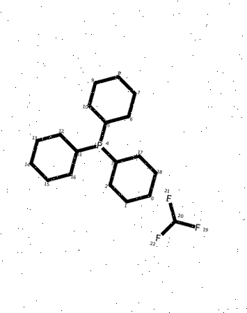 C1CCC(P(C2CCCCC2)C2CCCCC2)CC1.FC(F)F